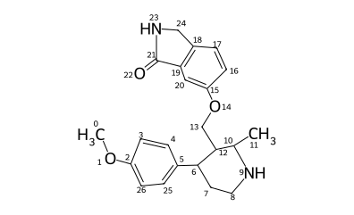 COc1ccc(C2CCNC(C)C2COc2ccc3c(c2)C(=O)NC3)cc1